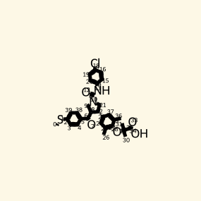 CSc1ccc(C(=O)C2CN(C(=O)Nc3ccc(Cl)cc3)C[C@@H]2c2cc(C)c(OC(C)(C)C(=O)O)c(C)c2)cc1